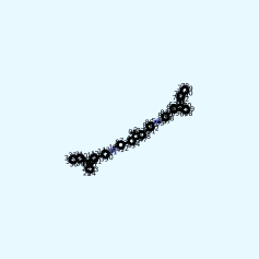 CC1(C)c2cc(-c3ccc(/C=C/c4ccc(-c5ccc6c(c5)c5ccccc5n6-c5ccc6ccccc6c5)cc4)cc3)ccc2-c2ccc(-c3ccc(/C=C/c4ccc(-c5ccc6c(c5)c5ccccc5n6-c5ccc6ccccc6c5)cc4)cc3)cc21